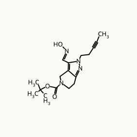 CC#CCCn1nc2c(c1C=NO)CN(C(=O)OC(C)(C)C)CC2